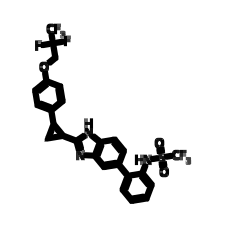 O=S(=O)(Nc1ccccc1-c1ccc2[nH]c(C3CC3c3ccc(OCC(F)(F)C(F)(F)F)cc3)nc2c1)C(F)(F)F